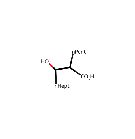 CCCCCCCC(O)C(CCCCC)C(=O)O